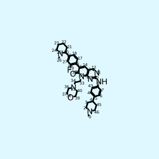 CN1CCC(c2ccc(Nc3ncc4cc(-c5ccc(C6CCCCN6C)cc5F)c(=O)n(CCN5CCOCC5)c4n3)cc2)CC1